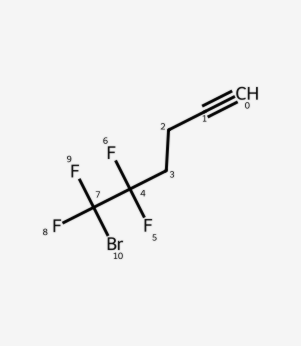 C#CCCC(F)(F)C(F)(F)Br